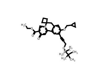 CCOC(=O)c1cn2c(cc1=O)-c1cc(C#CCO[Si](C)(C)C(C)(C)C)c(OCC3CC3)cc1CC21CCC1